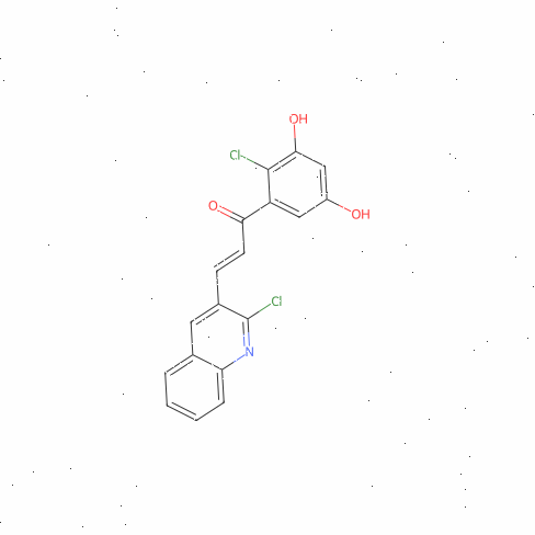 O=C(/C=C/c1cc2ccccc2nc1Cl)c1cc(O)cc(O)c1Cl